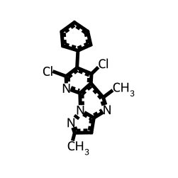 Cc1cc2nc(C)c3c(Cl)c(-c4ccccc4)c(Cl)nc3n2n1